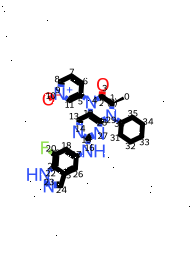 C[C@@H]1C(=O)N(c2ccc[n+]([O-])c2)c2cnc(Nc3cc(F)c4[nH]ncc4c3)nc2N1C1CCCCC1